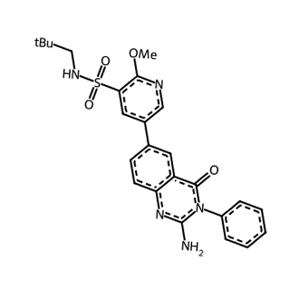 COc1ncc(-c2ccc3nc(N)n(-c4ccccc4)c(=O)c3c2)cc1S(=O)(=O)NCC(C)(C)C